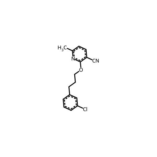 Cc1ccc(C#N)c(OCCCc2cccc(Cl)c2)n1